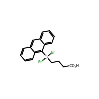 O=C(O)CCC[Si](Br)(Br)c1c2ccccc2cc2ccccc12